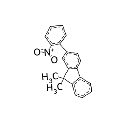 CC1(C)c2ccccc2-c2ccc(-c3ccccc3[N+](=O)[O-])cc21